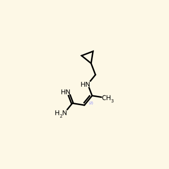 C/C(=C/C(=N)N)NCC1CC1